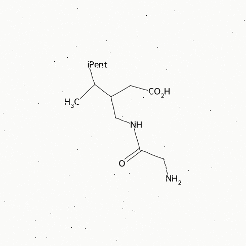 CCCC(C)C(C)C(CNC(=O)CN)CC(=O)O